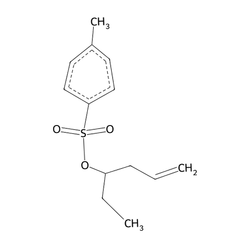 C=CCC(CC)OS(=O)(=O)c1ccc(C)cc1